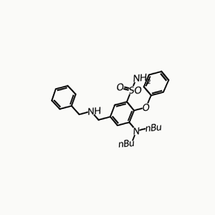 CCCCN(CCCC)c1cc(CNCc2ccccc2)cc(S(N)(=O)=O)c1Oc1ccccc1